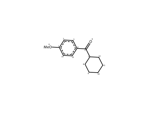 COc1ccc(C(=O)C2CCCCC2)cc1